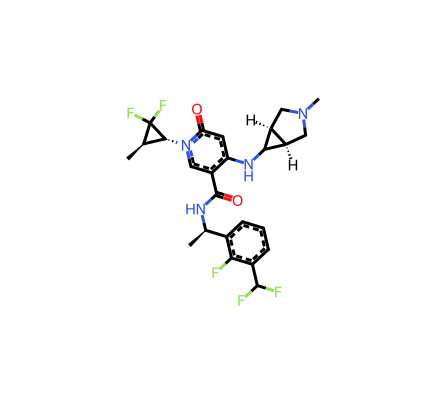 C[C@@H]1[C@@H](n2cc(C(=O)N[C@H](C)c3cccc(C(F)F)c3F)c(NC3[C@H]4CN(C)C[C@@H]34)cc2=O)C1(F)F